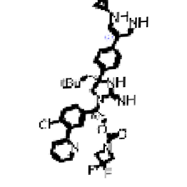 CC(C)(C)C[C@@]1(c2ccc(/C(C=N)=C/NC3CC3)cc2)CN([C@H](COC(=O)N2CC(F)(F)C2)c2ccc(Cl)c(-c3ccccn3)c2)C(=N)N1